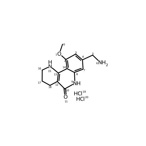 COc1cc(CN)cc2[nH]c(=O)c3c(c12)NCCC3.Cl.Cl